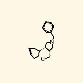 ClC[C@H]1CN(Cc2ccccc2)C[C@H]1C1CC=CCC1